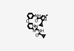 Cn1cc(C(=O)Nc2cccc(Oc3ccc4nc(NC(=O)C5CC5)nn4c3)c2)c(C2CC2)n1